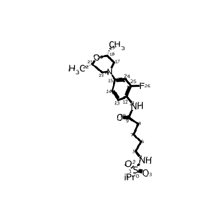 CC(C)S(=O)(=O)NCCCCC(=O)Nc1ccc(N2C[C@@H](C)O[C@@H](C)C2)cc1F